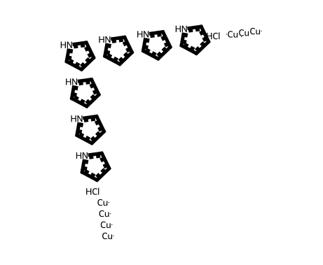 Cl.Cl.[Cu].[Cu].[Cu].[Cu].[Cu].[Cu].[Cu].c1cc[nH]c1.c1cc[nH]c1.c1cc[nH]c1.c1cc[nH]c1.c1cc[nH]c1.c1cc[nH]c1.c1cc[nH]c1